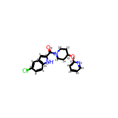 O=C(c1cc2cc(Cl)ccc2[nH]1)N1CCC(Oc2ccccn2)CC1